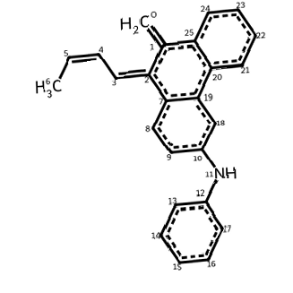 C=c1/c(=C\C=C/C)c2ccc(Nc3ccccc3)cc2c2ccccc12